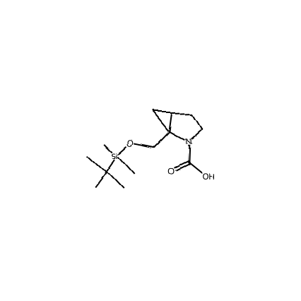 CC(C)(C)[Si](C)(C)OCC12CC1CCN2C(=O)O